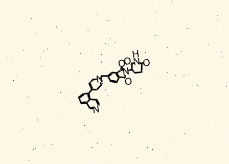 O=C1CCC(N2C(=O)c3ccc(CN4CC=C(c5cccc6cnccc56)CC4)cc3C2=O)C(=O)N1